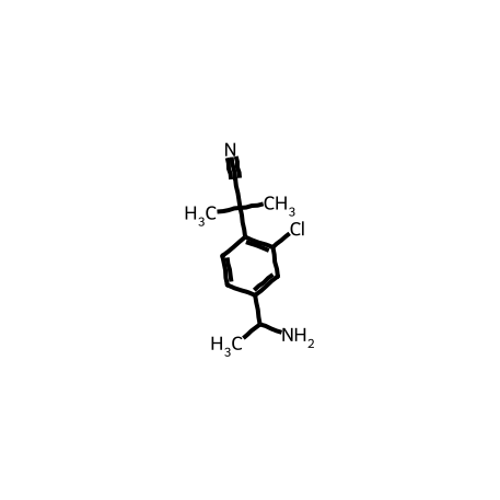 CC(N)c1ccc(C(C)(C)C#N)c(Cl)c1